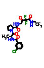 CC(NC(=O)c1cccc(Cl)c1)C(=O)N1CCCC1C(=O)NCC(=O)C(F)(F)C(=O)NCC(F)(F)F